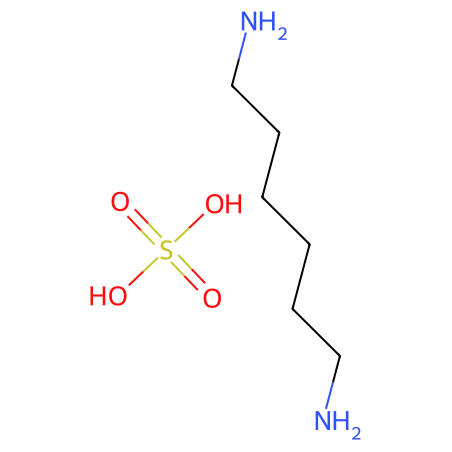 NCCCCCCN.O=S(=O)(O)O